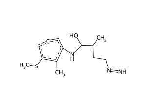 CSc1cccc(NC(O)C(C)CCN=N)c1C